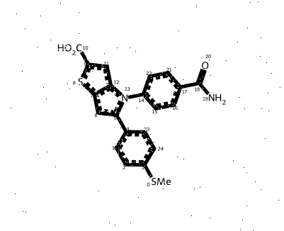 CSc1ccc(-c2cc3sc(C(=O)O)cc3n2-c2ccc(C(N)=O)cc2)cc1